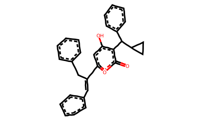 O=c1oc(C(=Cc2ccccc2)Cc2ccccc2)cc(O)c1C(c1ccccc1)C1CC1